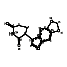 O=C1CCC(c2coc3cc4c(cc23)OCO4)C(=O)N1